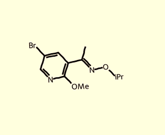 COc1ncc(Br)cc1C(C)=NOC(C)C